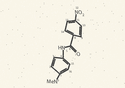 CNc1ccc(NC(=O)c2ccc([N+](=O)[O-])cc2)cc1